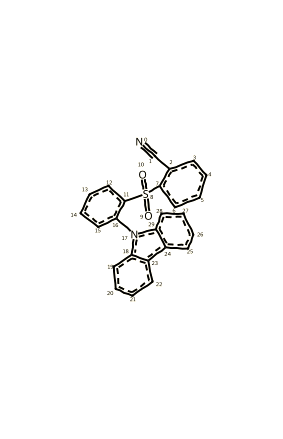 N#Cc1ccccc1S(=O)(=O)c1ccccc1-n1c2ccccc2c2ccccc21